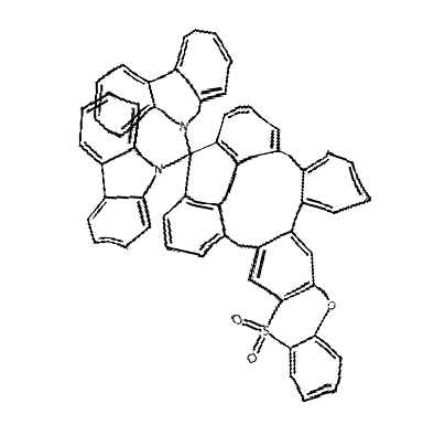 O=S1(=O)c2ccccc2Oc2cc3c(cc21)-c1cccc2c1-c1c(cccc1C2(n1c2ccccc2c2ccccc21)n1c2ccccc2c2ccccc21)-c1ccccc1-3